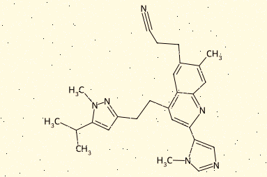 Cc1cc2nc(-c3cncn3C)cc(CCc3cc(C(C)C)n(C)n3)c2cc1CCC#N